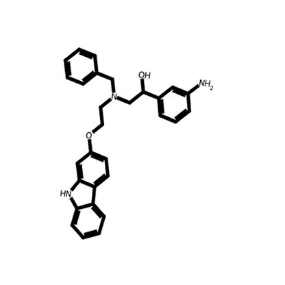 Nc1cccc(C(O)CN(CCOc2ccc3c(c2)[nH]c2ccccc23)Cc2ccccc2)c1